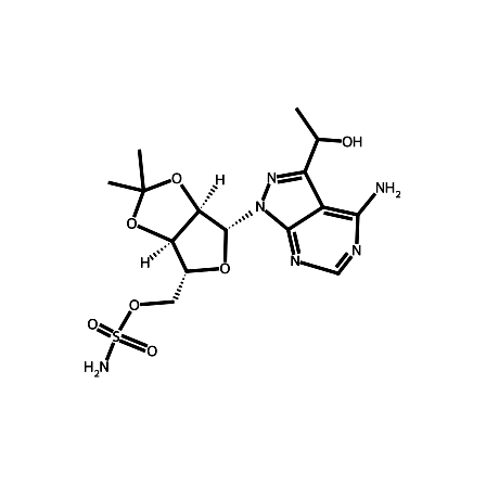 CC(O)c1nn([C@@H]2O[C@H](COS(N)(=O)=O)[C@H]3OC(C)(C)O[C@H]32)c2ncnc(N)c12